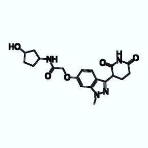 Cn1nc(C2CCC(=O)NC2=O)c2ccc(OCC(=O)NC3CCC(O)C3)cc21